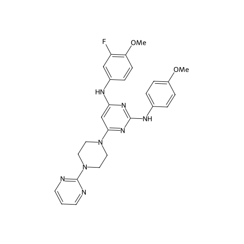 COc1ccc(Nc2nc(Nc3ccc(OC)c(F)c3)cc(N3CCN(c4ncccn4)CC3)n2)cc1